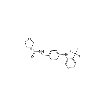 O=C(NCc1ccc(Nc2ccccc2C(F)(F)F)cc1)[C@@H]1CCOC1